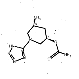 C[C@H]1C[C@@H](OC(N)=O)CN(c2nnn[nH]2)C1